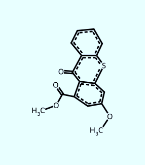 COC(=O)c1cc(OC)cc2sc3ccccc3c(=O)c12